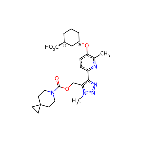 Cc1nc(-c2nnn(C)c2COC(=O)N2CCC3(CC2)CC3)ccc1O[C@H]1CCC[C@H](C(=O)O)C1